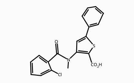 CN(C(=O)c1ccccc1Cl)c1cc(-c2ccccc2)sc1C(=O)O